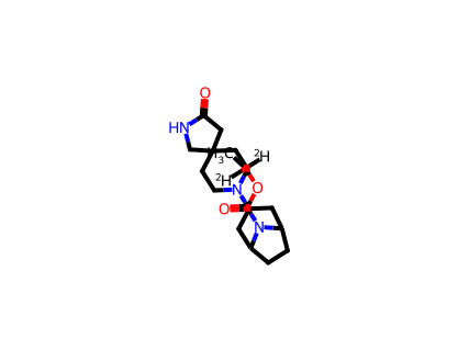 [2H]C([2H])(C)OC(=O)N1C2CCC1CC(N1CCC3(CC1)CNC(=O)C3)C2